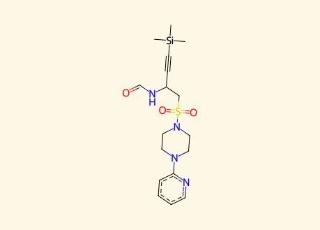 C[Si](C)(C)C#CC(CS(=O)(=O)N1CCN(c2ccccn2)CC1)NC=O